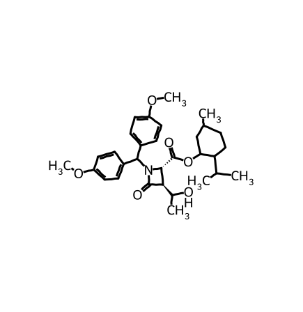 COc1ccc(C(c2ccc(OC)cc2)N2C(=O)[C@H](C(C)O)[C@H]2C(=O)OC2CC(C)CCC2C(C)C)cc1